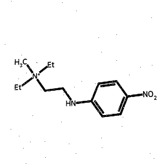 CC[N+](C)(CC)CCNc1ccc([N+](=O)[O-])cc1